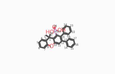 CC1(C)c2ccccc2Oc2cc(-c3ccccc3)c(-c3ccccc3)c(P(=O)(O)O)c21